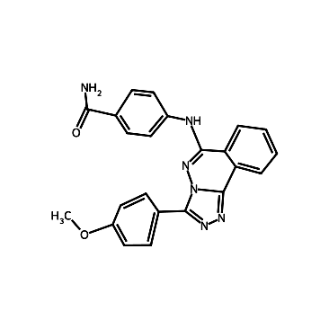 COc1ccc(-c2nnc3c4ccccc4c(Nc4ccc(C(N)=O)cc4)nn23)cc1